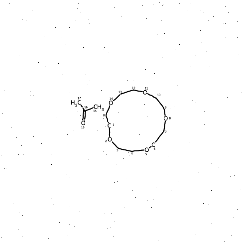 C1COCCOCCOCCOCCO1.CC(C)=O